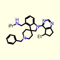 CCC1CCc2ncnc(N3CC4(CCN(Cc5ccccc5)CC4)c4c(CNC(C)C)cccc43)c21